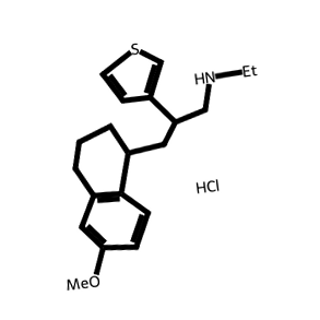 CCNCC(CC1CCCc2cc(OC)ccc21)c1ccsc1.Cl